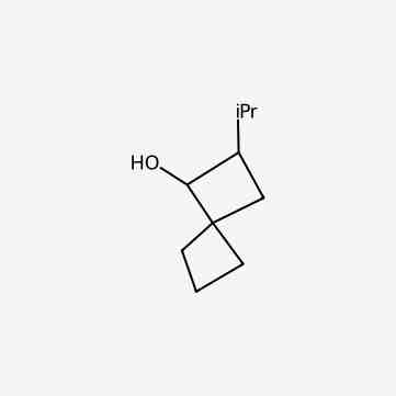 CC(C)C1CC2(CCC2)C1O